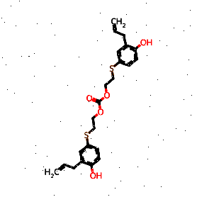 C=CCc1cc(SCCOC(=O)OCCSc2ccc(O)c(CC=C)c2)ccc1O